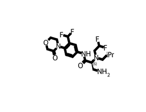 CC(C)CN(CC(F)F)[C@@H](CN)C(=O)Nc1ccc(N2CCOCC2=O)c(C(F)F)c1